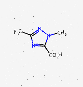 Cn1nc(C(F)(F)F)nc1C(=O)O